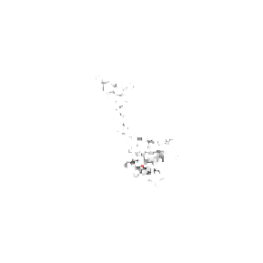 CCC1CC(C(=O)NCCNC(=O)Cc2cc(=O)oc3cc(O)ccc23)C[C@@H](O[C@H]2CC(CNC(C)=O)(O[C@@H](CC3CCCCC3)C(O)O)[C@@H](O)C(CO)O2)C1OC1O[C@@H](C)[C@H](O)[C@@H](O)[C@@H]1O